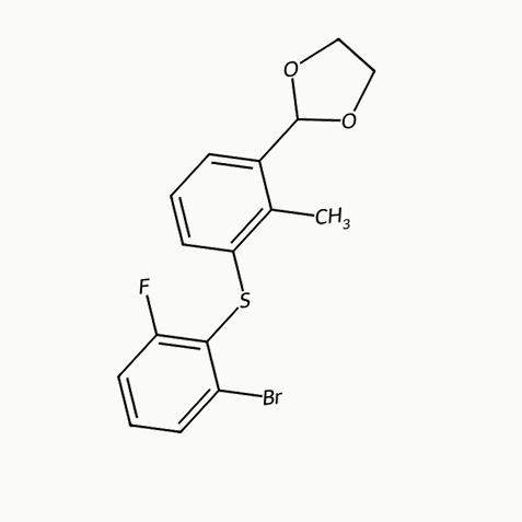 Cc1c(Sc2c(F)cccc2Br)cccc1C1OCCO1